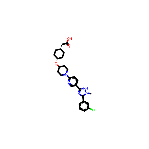 CN1NC(c2ccc(N3CCC(O[C@H]4CC[C@@H](CC(=O)O)CC4)CC3)nc2)=NC1c1cccc(Cl)c1